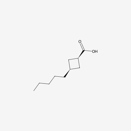 CCCCC[C@H]1C[C@@H](C(=O)O)C1